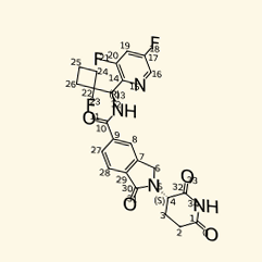 O=C1CC[C@H](N2Cc3cc(C(=O)N[C@H](c4ncc(F)cc4F)C4(F)CCC4)ccc3C2=O)C(=O)N1